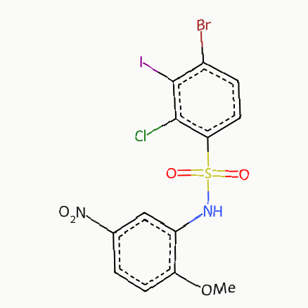 COc1ccc([N+](=O)[O-])cc1NS(=O)(=O)c1ccc(Br)c(I)c1Cl